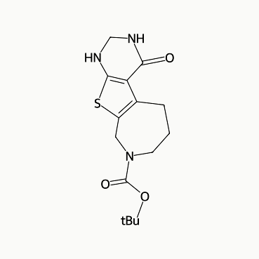 CC(C)(C)OC(=O)N1CCCc2c(sc3c2C(=O)NCN3)C1